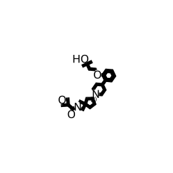 CC(C)(O)CCOc1ccccc1C1CCN([C@@H]2CCC3(C2)CN(C(=O)C2COC2)C3)CC1